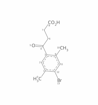 Cc1cc(C(=O)CCC(=O)O)c(C)cc1Br